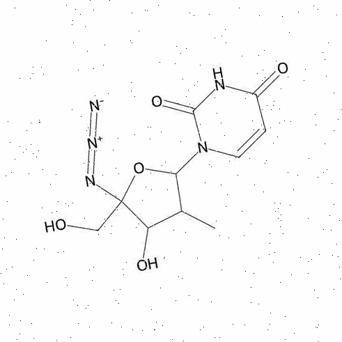 CC1C(n2ccc(=O)[nH]c2=O)OC(CO)(N=[N+]=[N-])C1O